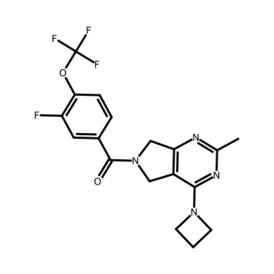 Cc1nc2c(c(N3CCC3)n1)CN(C(=O)c1ccc(OC(F)(F)F)c(F)c1)C2